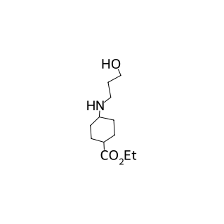 CCOC(=O)C1CCC(NCCCO)CC1